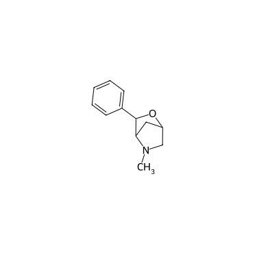 CN1CC2CC1C(c1ccccc1)O2